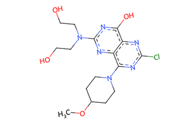 COC1CCN(c2nc(Cl)nc3c(O)nc(N(CCO)CCO)nc23)CC1